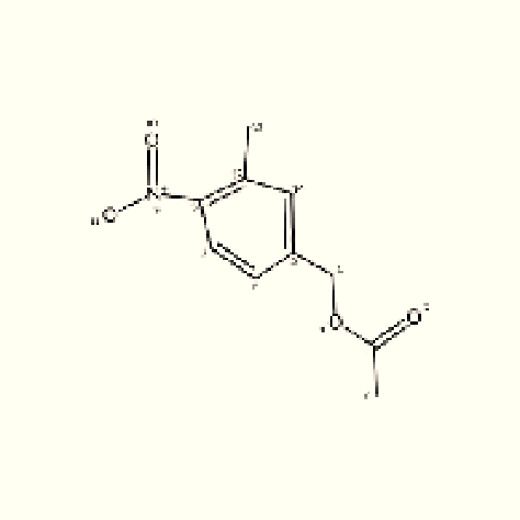 CC(=O)OCc1ccc([N+](=O)[O-])c(C)c1